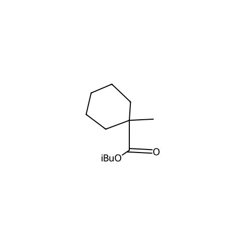 CC(C)[CH]OC(=O)C1(C)CCCCC1